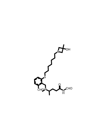 CC(CCC(=O)NC=O)N(C)Cc1c(C=O)cccc1SCCCCCCCN1CC(C)(O)C1